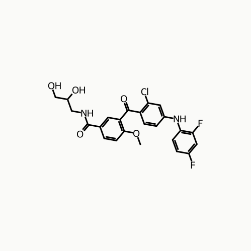 COc1ccc(C(=O)NCC(O)CO)cc1C(=O)c1ccc(Nc2ccc(F)cc2F)cc1Cl